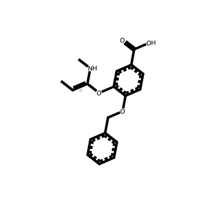 C/C=C(\NC)Oc1cc(C(=O)O)ccc1OCc1ccccc1